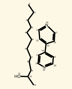 CCCCCCCCCCC(C)O.c1cc(-c2ccncc2)ccn1